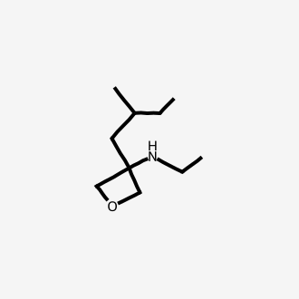 CCNC1(CC(C)CC)COC1